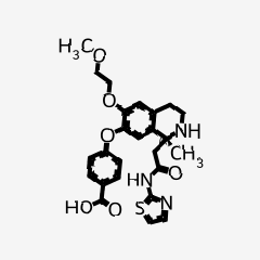 COCCOc1cc2c(cc1Oc1ccc(C(=O)O)cc1)[C@@](C)(CC(=O)Nc1nccs1)NCC2